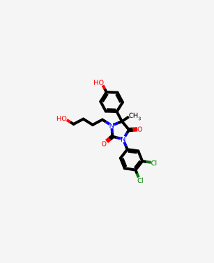 CC1(c2ccc(O)cc2)C(=O)N(c2ccc(Cl)c(Cl)c2)C(=O)N1CCCCO